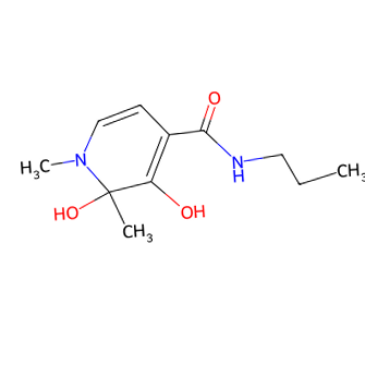 CCCNC(=O)C1=C(O)C(C)(O)N(C)C=C1